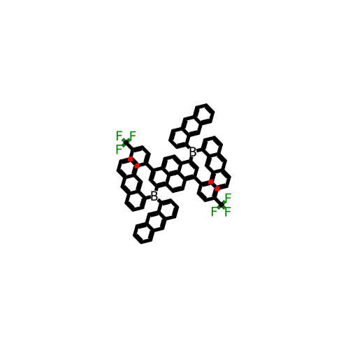 FC(F)(F)c1ccc(-c2cc(B(c3cccc4cc5ccccc5cc34)c3cccc4cc5ccccc5cc34)c3ccc4c(-c5ccc(C(F)(F)F)cc5)cc(B(c5cccc6cc7ccccc7cc56)c5cccc6cc7ccccc7cc56)c5ccc2c3c54)cc1